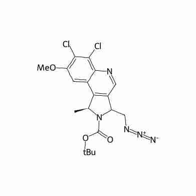 COc1cc2c3c(cnc2c(Cl)c1Cl)C(CN=[N+]=[N-])N(C(=O)OC(C)(C)C)[C@H]3C